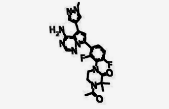 CC(=O)N1CCN(c2c(F)ccc(-c3cc(-c4cnn(C)c4)c4c(N)ncnn34)c2F)C(=O)C1(C)C